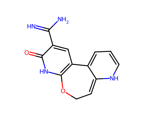 N=C(N)c1cc2c([nH]c1=O)OCC=C1NC=CC=C12